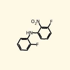 O=[N+]([O-])c1c(F)cccc1Nc1ccccc1F